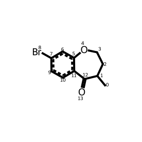 CC1CCOc2cc(Br)ccc2C1=O